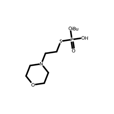 CC(C)COP(=O)(O)SCCN1CCOCC1